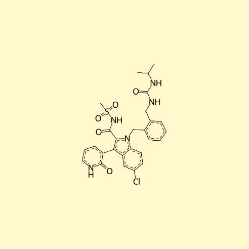 CC(C)NC(=O)NCc1ccccc1Cn1c(C(=O)NS(C)(=O)=O)c(-c2ccc[nH]c2=O)c2cc(Cl)ccc21